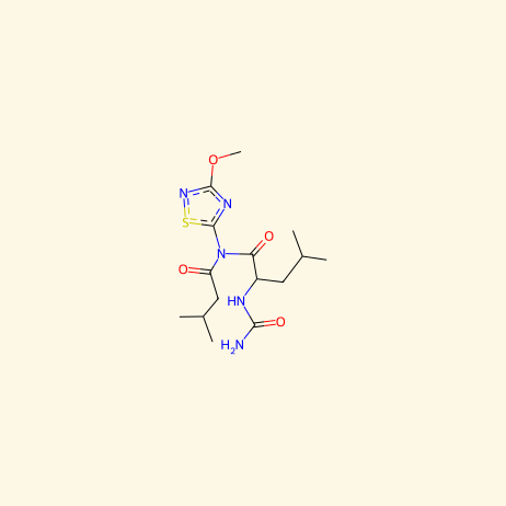 COc1nsc(N(C(=O)CC(C)C)C(=O)C(CC(C)C)NC(N)=O)n1